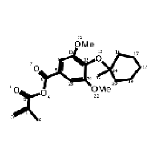 C=C(C)C(=O)OC(=O)c1cc(OC)c(OC2(C)CCCCC2)c(OC)c1